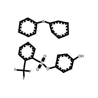 O=S(=O)(Oc1ccc(O)cc1)c1ccccc1C(F)(F)F.c1ccc(Sc2ccccc2)cc1